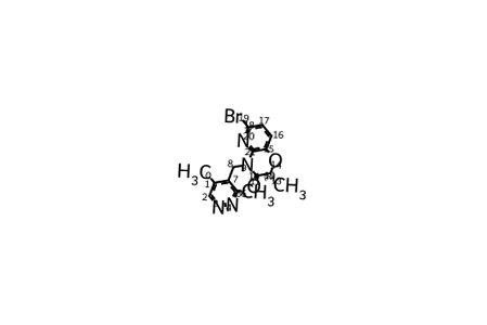 Cc1cnnc(C)c1CN1C(=O)[C@@H](C)Oc2ccc(Br)nc21